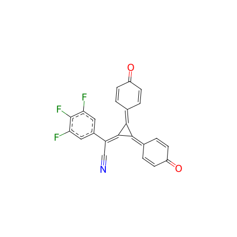 N#CC(=C1C(=C2C=CC(=O)C=C2)C1=C1C=CC(=O)C=C1)c1cc(F)c(F)c(F)c1